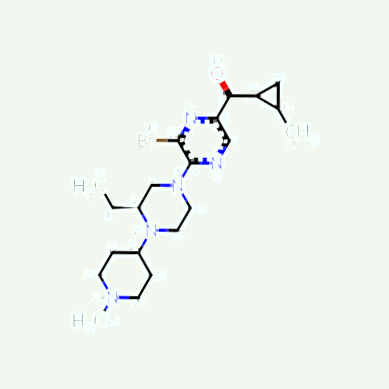 CC[C@H]1CN(c2ncc(C(=O)C3CC3C)nc2Br)CCN1C1CCN(C)CC1